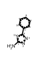 Nc1nnc(-c2c[c]ccc2)s1